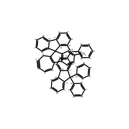 Cc1ccc2c(c1)C1(C3=C2C=CC#CC3)c2ccccc2-c2cccc(N(c3ccccc3)c3ccc4c(c3)C(c3ccccc3)(c3ccccc3)c3ccccc3-4)c21